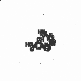 O=C(O)N1CCN(c2cccc(-n3ncc4cnc(-c5cn[nH]c5)cc43)n2)CC(O)C1